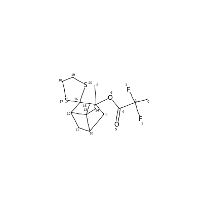 CC(F)(F)C(=O)OC1(C)CC2CC(C2(C)C)C12SCCS2